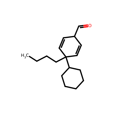 CCCCC1(C2CCCCC2)C=CC(C=O)C=C1